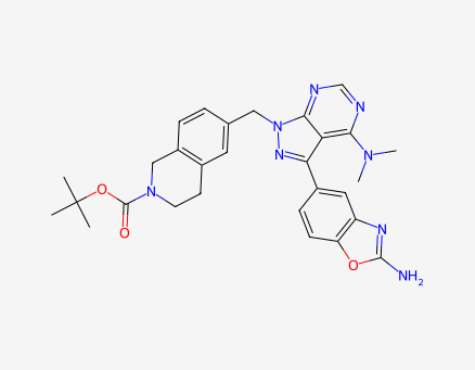 CN(C)c1ncnc2c1c(-c1ccc3oc(N)nc3c1)nn2Cc1ccc2c(c1)CCN(C(=O)OC(C)(C)C)C2